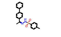 CC(=NNS(=O)(=O)c1ccc(C)cc1)c1ccc(-c2ccccc2)cc1